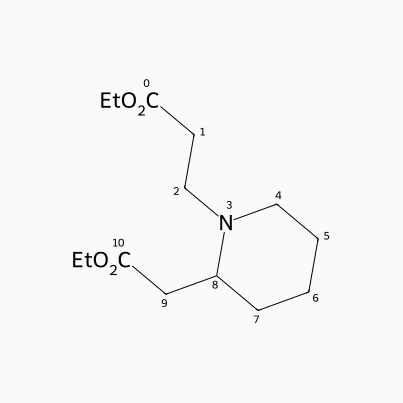 CCOC(=O)CCN1CCCCC1CC(=O)OCC